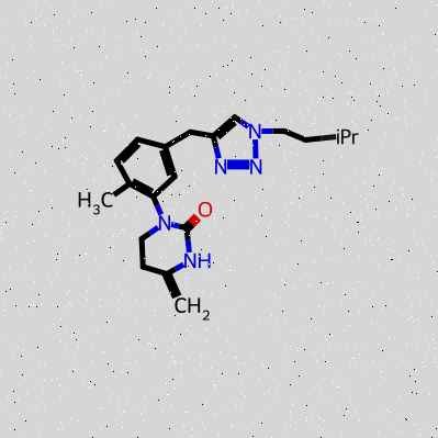 C=C1CCN(c2cc(Cc3cn(CCC(C)C)nn3)ccc2C)C(=O)N1